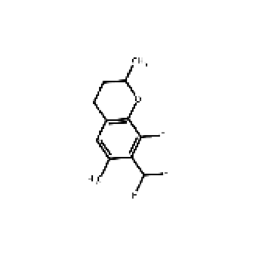 Cc1cc2c(c(F)c1C(F)F)OC(C)CC2